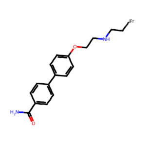 CC(C)CCNCCOc1ccc(-c2ccc(C(N)=O)cc2)cc1